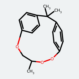 CC1COc2ccc(cc2)C(C)(C)c2ccc(cc2)OO1